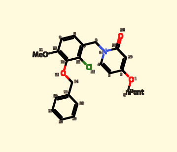 CCCCCOc1ccn(Cc2ccc(OC)c(OCc3ccccc3)c2Cl)c(=O)c1